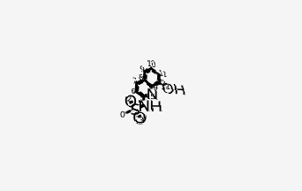 CS(=O)(=O)Nc1ccc2cccc(O)c2n1